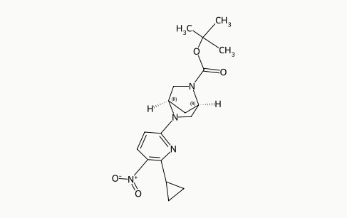 CC(C)(C)OC(=O)N1C[C@H]2C[C@@H]1CN2c1ccc([N+](=O)[O-])c(C2CC2)n1